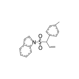 C=CC(c1ccc(C)cc1)S(=O)(=O)n1ccc2ccccc21